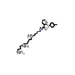 Cc1ccc(Sc2ncccc2C(=O)/N=C/CCC=CNCCCCNCCCN)cc1